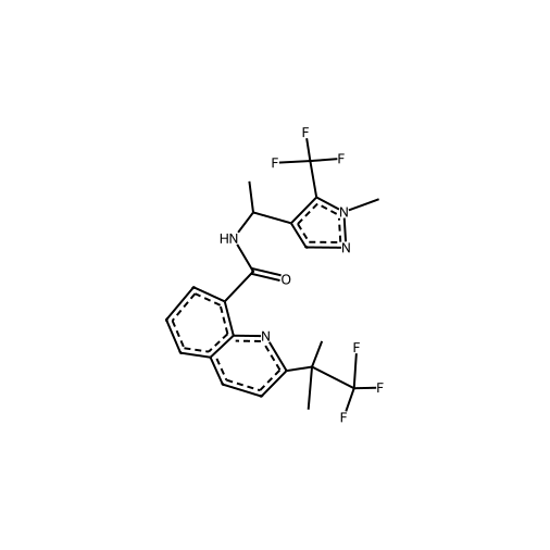 CC(NC(=O)c1cccc2ccc(C(C)(C)C(F)(F)F)nc12)c1cnn(C)c1C(F)(F)F